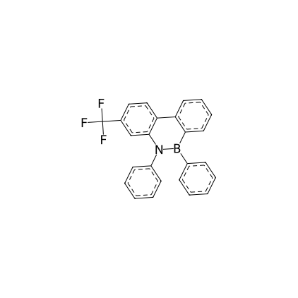 FC(F)(F)c1ccc2c(c1)N(c1ccccc1)B(c1ccccc1)c1ccccc1-2